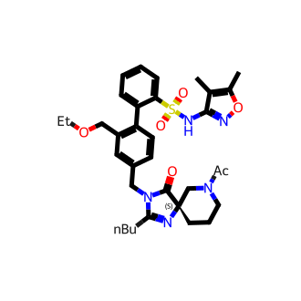 CCCCC1=N[C@]2(CCCN(C(C)=O)C2)C(=O)N1Cc1ccc(-c2ccccc2S(=O)(=O)Nc2noc(C)c2C)c(COCC)c1